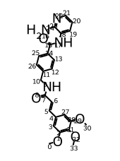 COc1cc(C=CC(=O)NCc2ccc(C(=O)Nc3cccnc3N)cc2)cc(OC)c1OC